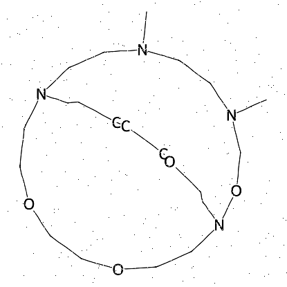 CN1CCN(C)CON2CCOCCCCCN(CCOCCOCC2)CC1